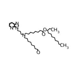 CCCCCCCCC(CC)OC(=O)CCCCCCCN(CCCCCCCC=O)CCCn1cnc2cccnc21